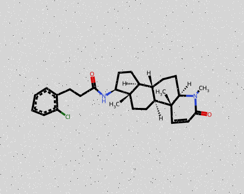 CN1C(=O)C=C[C@]2(C)[C@H]3CC[C@]4(C)[C@@H](NC(=O)CCc5ccccc5Cl)CC[C@H]4[C@@H]3CC[C@@H]12